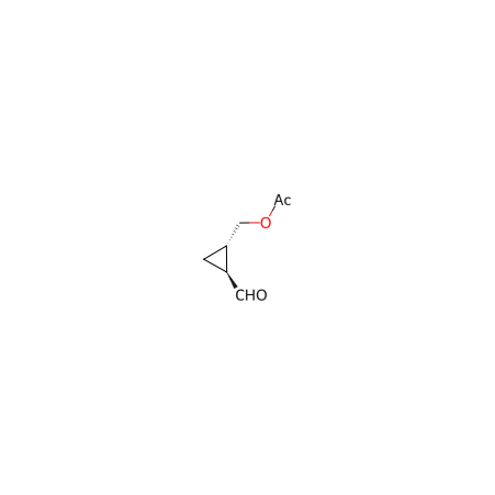 CC(=O)OC[C@H]1C[C@@H]1C=O